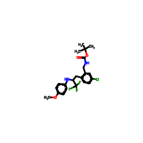 COc1ccc(NC(Cc2ccc(Cl)cc2CNC(=O)OC(C)(C)C)C(F)(F)F)cc1